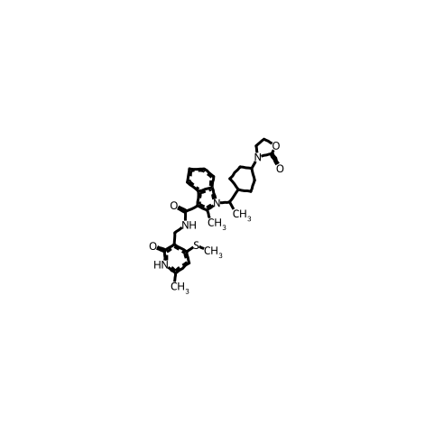 CSc1cc(C)[nH]c(=O)c1CNC(=O)c1c(C)n(C(C)C2CCC(N3CCOC3=O)CC2)c2ccccc12